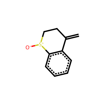 C=C1CC[S+]([O-])c2ccccc21